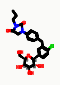 CCCN1C(=O)CN(c2ccc(Cc3cc([C@@H]4O[C@H](CO)[C@@H](O)[C@H](O)[C@H]4O)ccc3Cl)cc2)C1=O